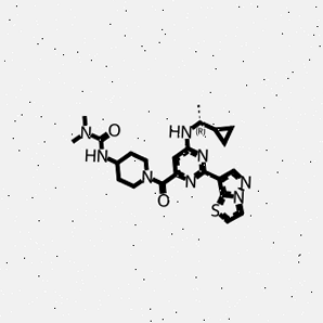 C[C@@H](Nc1cc(C(=O)N2CCC(NC(=O)N(C)C)CC2)nc(-c2cnn3ccsc23)n1)C1CC1